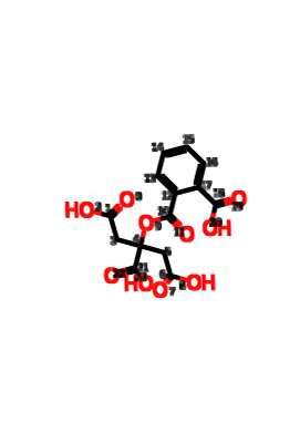 O=C(O)CC(CC(=O)O)(OC(=O)c1ccccc1C(=O)O)C(=O)O